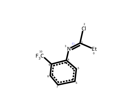 CC/C(Cl)=N\c1ccccc1C(F)(F)F